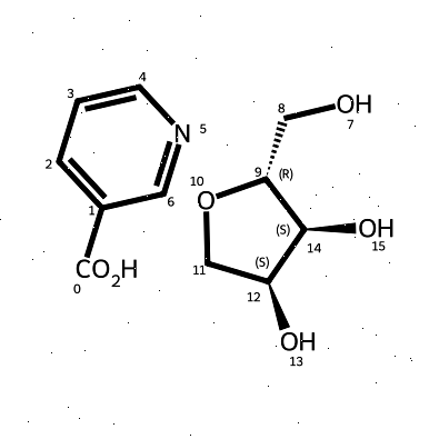 O=C(O)c1cccnc1.OC[C@H]1OC[C@H](O)[C@@H]1O